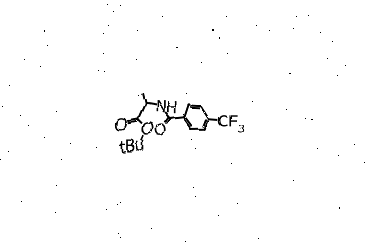 CC(NC(=O)c1ccc(C(F)(F)F)cc1)C(=O)OC(C)(C)C